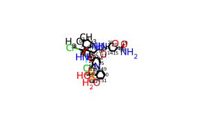 CC1(C)CCC2(CC1)N[C@@H](C(=O)N[C@@H]1CC[C@@H](C(N)=O)OC1)[C@H](c1ccnc(Cl)c1F)[C@]21C(=O)Nc2cc(Cl)ccc21.O.O=S(=O)(O)c1ccccc1